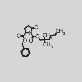 C=CCCC(C)(C)COC(=O)N1C(=O)CCC1C(=O)OCc1ccccc1